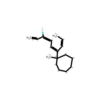 C=C\C(F)=C/C=C(\C=C/C)C1(C)CCCCCC1